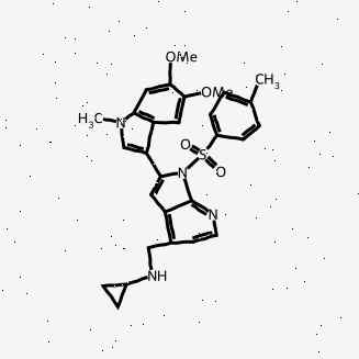 COc1cc2c(-c3cc4c(CNC5CC5)ccnc4n3S(=O)(=O)c3ccc(C)cc3)cn(C)c2cc1OC